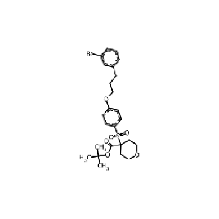 CC(C)(C)OC(=O)C1(S(=O)(=O)c2ccc(OCCCc3cccc(Br)c3)cc2)CCOCC1